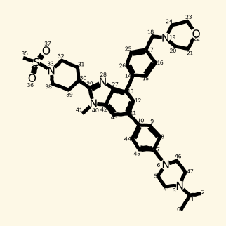 CC(C)N1CCN(c2ccc(-c3cc(-c4ccc(CN5CCOCC5)cc4)c4nc(C5CCN(S(C)(=O)=O)CC5)n(C)c4c3)cc2)CC1